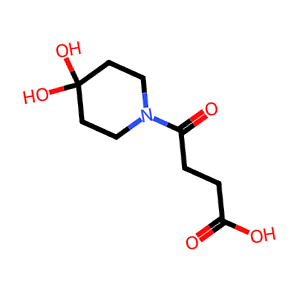 O=C(O)CCC(=O)N1CCC(O)(O)CC1